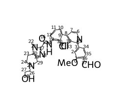 COc1cc(-c2nccc(-c3cccc(NC(=O)c4nc5c(n4C)CCN(CCO)C5)c3Cl)c2Cl)ccc1C=O